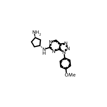 COc1ccc(-n2nnc3cnc(N[C@@H]4CC[C@@H](N)C4)nc32)cc1